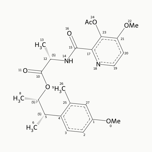 COc1ccc([C@H](C)[C@H](C)OC(=O)[C@H](C)NC(=O)c2nccc(OC)c2OC(C)=O)c(C)c1